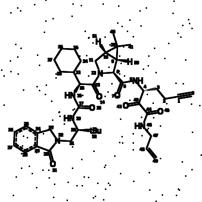 C#CCC[C@@H](NC(=O)[C@@H]1[C@@H]2[C@H](CN1C(=O)[C@@H](NC(=O)N[C@H](CN1Cc3ccccc3C1=O)C(C)(C)C)C1CCCCC1)C2(C)C)C(=O)C(=O)NCC=C